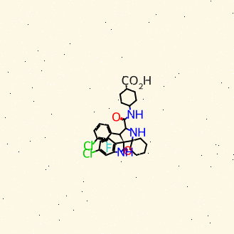 O=C(O)C1CCC(NC(=O)C2NC3(CCCCC3)[C@@]3(C(=O)Nc4cc(Cl)ccc43)C2c2cccc(Cl)c2F)CC1